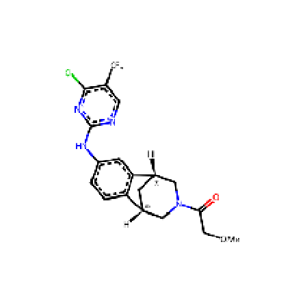 COCC(=O)N1C[C@H]2C[C@@H](C1)c1cc(Nc3ncc(C(F)(F)F)c(Cl)n3)ccc12